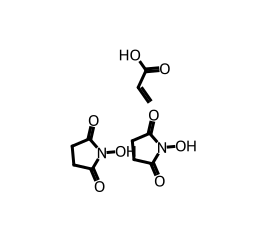 C=CC(=O)O.O=C1CCC(=O)N1O.O=C1CCC(=O)N1O